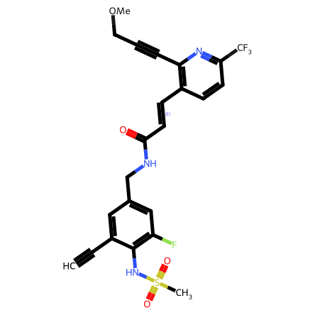 C#Cc1cc(CNC(=O)/C=C/c2ccc(C(F)(F)F)nc2C#CCOC)cc(F)c1NS(C)(=O)=O